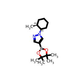 C[C@H]1CCCC[C@H]1n1cc(B2OC(C)(C)C(C)(C)O2)cn1